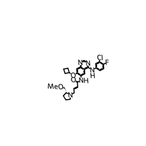 COC[C@H]1CCCN1C/C=C/C(=O)Nc1cc2c(Nc3ccc(F)c(Cl)c3)ncnc2cc1OC1CCC1